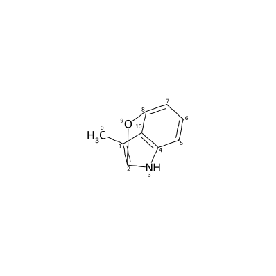 Cc1c2[nH]c3cccc(o2)c13